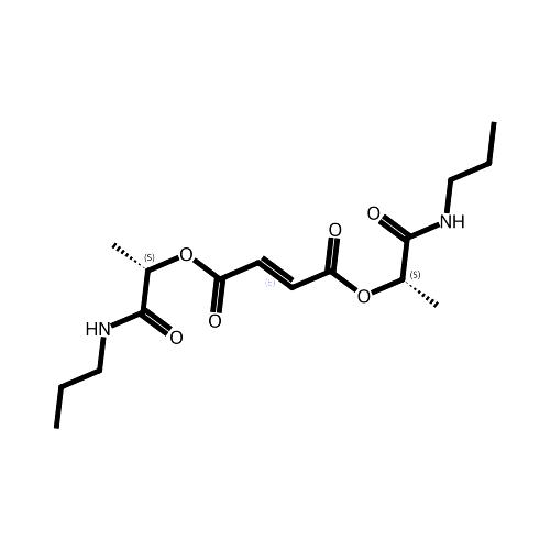 CCCNC(=O)[C@H](C)OC(=O)/C=C/C(=O)O[C@@H](C)C(=O)NCCC